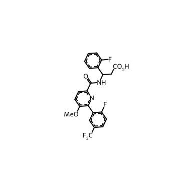 COc1ccc(C(=O)NC(CC(=O)O)c2ccccc2F)nc1-c1cc(C(F)(F)F)ccc1F